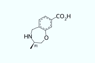 C[C@@H]1COc2cc(C(=O)O)ccc2CN1